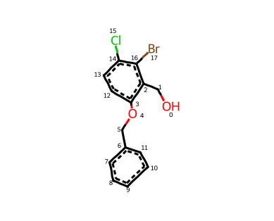 OCc1c(OCc2ccccc2)ccc(Cl)c1Br